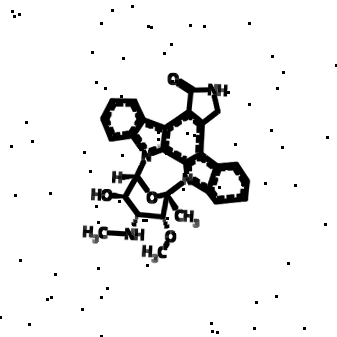 CN[C@@H]1[C@@H](O)[C@H]2O[C@@](C)([C@@H]1OC)n1c3ccccc3c3c4c(c5c6ccccc6n2c5c31)C(=O)NC4